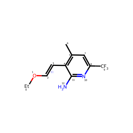 CCO/C=C/c1c(C)cc(C(F)(F)F)nc1N